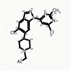 CC(=O)CN1CCC(c2cc3c(cnn3-c3cc(Cl)nc(C)n3)cc2Cl)CC1